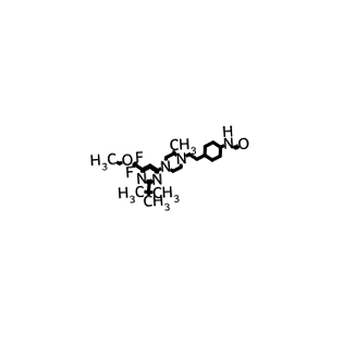 CCOC(F)(F)c1cc(N2CCN(CCC3CCC(NC=O)CC3)C(C)C2)nc(C(C)(C)C)n1